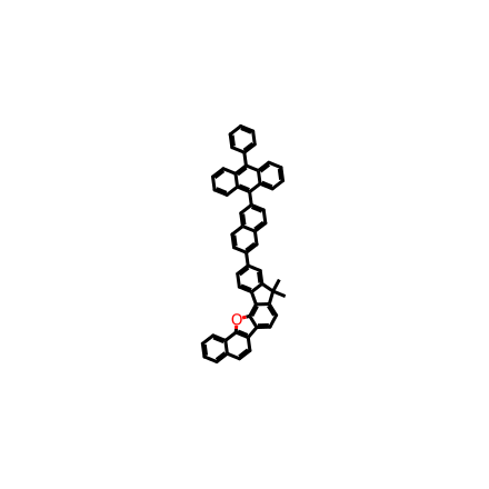 CC1(C)c2cc(-c3ccc4cc(-c5c6ccccc6c(-c6ccccc6)c6ccccc56)ccc4c3)ccc2-c2c1ccc1c2oc2c3ccccc3ccc12